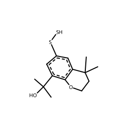 CC(C)(O)c1cc(SS)cc2c1OCCC2(C)C